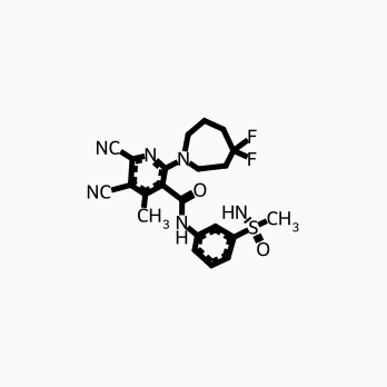 Cc1c(C#N)c(C#N)nc(N2CCCC(F)(F)CC2)c1C(=O)Nc1cccc(S(C)(=N)=O)c1